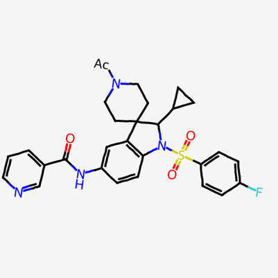 CC(=O)N1CCC2(CC1)c1cc(NC(=O)c3cccnc3)ccc1N(S(=O)(=O)c1ccc(F)cc1)C2C1CC1